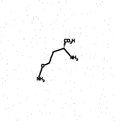 NOCC[C@@H](N)C(=O)O